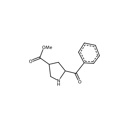 COC(=O)C1CNC(C(=O)c2ccccc2)C1